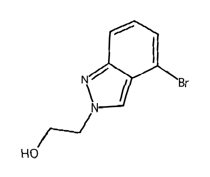 OCCn1cc2c(Br)cccc2n1